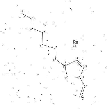 C=CN1C=CN(CCCCCCC)C1.[Re]